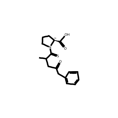 CC(CC(=O)Cc1ccccc1)C(=S)N1CCC[C@H]1C(=O)O